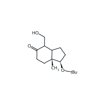 CC(C)(C)O[C@@H]1CCC2C(CO)C(=O)CC[C@]21C